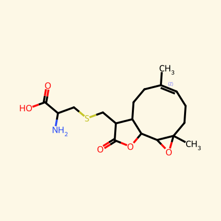 C/C1=C/CCC2(C)OC2C2OC(=O)C(CSCC(N)C(=O)O)C2CC1